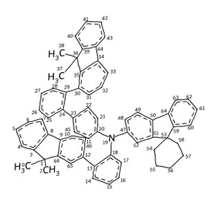 CC1(C)c2ccccc2-c2ccc(-c3ccccc3N(c3ccc(-c4ccccc4-c4cccc5c4C(C)(C)c4ccccc4-5)cc3)c3ccc4c(c3)C3(CCCCC3)c3ccccc3-4)cc21